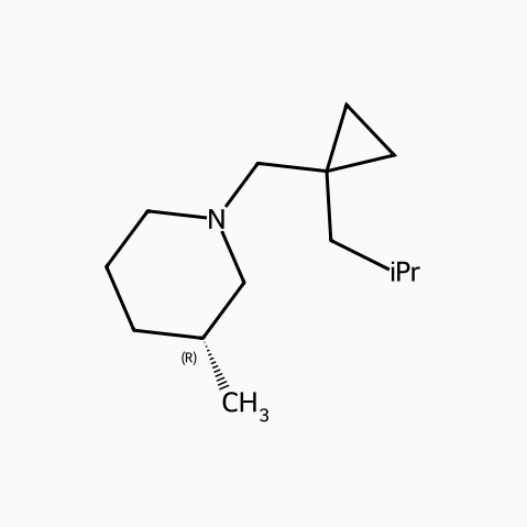 CC(C)CC1(CN2CCC[C@@H](C)C2)CC1